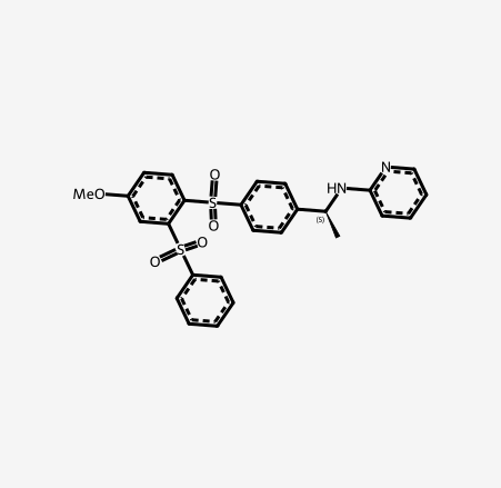 COc1ccc(S(=O)(=O)c2ccc([C@H](C)Nc3ccccn3)cc2)c(S(=O)(=O)c2ccccc2)c1